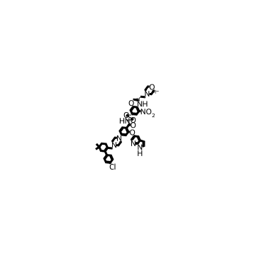 C[C@@H]1CN(CC[C@H]2COc3cc(S(=O)(=O)NC(=O)c4ccc(N5CCN(CC6=C(c7ccc(Cl)cc7)CC(C)(C)CC6)CC5)cc4Oc4cnc5[nH]ccc5c4)cc([N+](=O)[O-])c3N2)CCO1